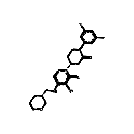 O=C1C[C@H](n2ncc(NC[C@H]3CCCOC3)c(Cl)c2=O)CCN1c1cc(F)cc(F)c1